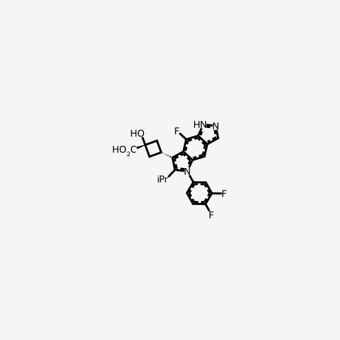 CC(C)c1c([C@H]2C[C@](O)(C(=O)O)C2)c2c(F)c3[nH]ncc3cc2n1-c1ccc(F)c(F)c1